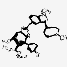 Cc1cc2nc(-c3ccc4c(c3)c(C3CCN(C)CC3)nn4C)sc2c(-c2ccc(Cl)cc2)c1[C@H](OC(C)(C)C)C(=O)O